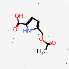 CC(=O)OCc1ccc(C(=O)O)[nH]1